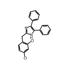 Clc1ccc(Cc2nc(-c3ccccc3)c(-c3ccccc3)[nH]2)c(Cl)c1